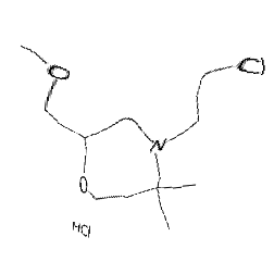 COCC1CN(CCCl)C(C)(C)CO1.Cl